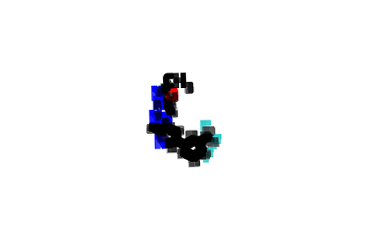 Cc1nnc(Cn2ncc3ncc(-c4ccc(F)c(C(F)F)c4)cc32)o1